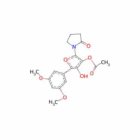 COc1cc(OC)cc(-c2oc(N3CCCC3=O)c(OC(C)=O)c2O)c1